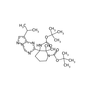 CC(C)c1cnn2cnc(C3(NC(=O)OC(C)(C)C)CCCN(C(=O)OC(C)(C)C)C3(C)C)nc12